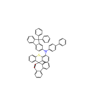 c1ccc(-c2ccc(N(c3ccc4c(c3)C(c3ccccc3)(c3ccccc3)c3ccccc3-4)c3cccc4c3Sc3ccccc3C43c4ccccc4-c4ccccc4-c4ccccc43)cc2)cc1